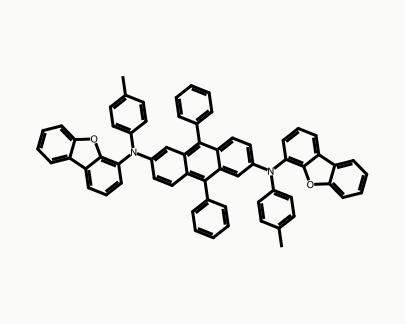 Cc1ccc(N(c2ccc3c(-c4ccccc4)c4cc(N(c5ccc(C)cc5)c5cccc6c5oc5ccccc56)ccc4c(-c4ccccc4)c3c2)c2cccc3c2oc2ccccc23)cc1